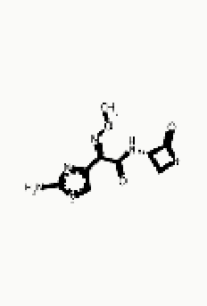 CON=C(C(=O)N[C@H]1C[N]C1=O)c1csc(N)n1